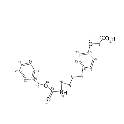 O=C(O)COc1ccc(CCCCNC(=O)OCc2ccccc2)cc1